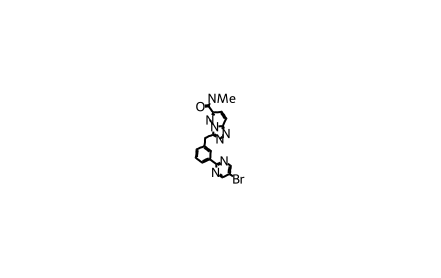 CNC(=O)c1ccc2nnc(Cc3cccc(-c4ncc(Br)cn4)c3)n2n1